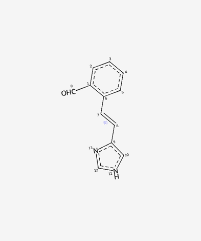 O=Cc1ccccc1/C=C/c1c[nH]cn1